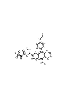 CCOc1ncc(Nc2cc([C@@H](CC)CC(=O)NS(C)(=O)=O)ccc2N(CC)C2CCOCC2)cn1